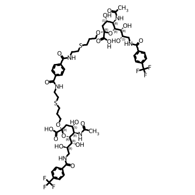 CC(=O)N[C@H]1[C@H]([C@H](O)[C@H](O)CNC(=O)c2ccc(C(F)(F)F)cc2)O[C@@](OCCCSCCNC(=O)c2ccc(C(=O)NCCSCCCO[C@]3(C(=O)O)C[C@H](O)[C@@H](NC(C)=O)[C@H]([C@H](O)[C@@H](O)CNC(=O)c4ccc(C(F)(F)F)cc4)O3)cc2)(C(=O)O)C[C@@H]1O